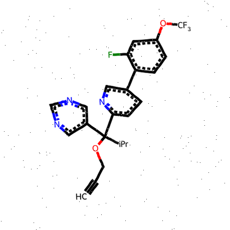 C#CCOC(c1cncnc1)(c1ccc(-c2ccc(OC(F)(F)F)cc2F)cn1)C(C)C